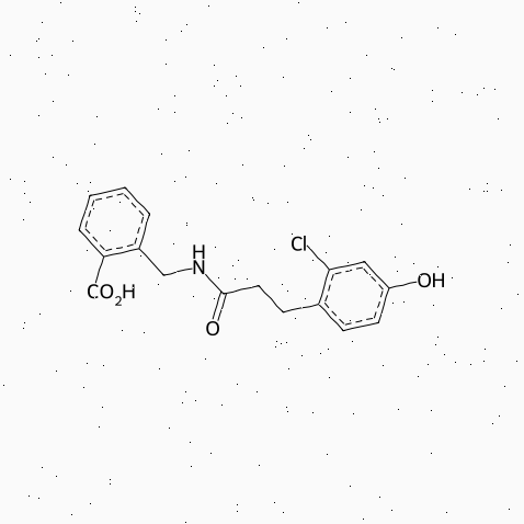 O=C(CCc1ccc(O)cc1Cl)NCc1ccccc1C(=O)O